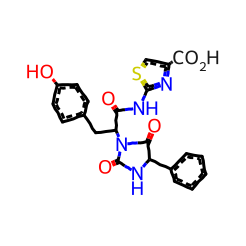 O=C(O)c1csc(NC(=O)C(Cc2ccc(O)cc2)N2C(=O)NC(c3ccccc3)C2=O)n1